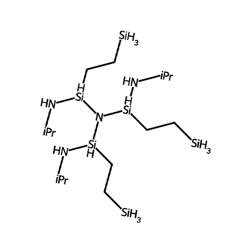 CC(C)N[SiH](CC[SiH3])N([SiH](CC[SiH3])NC(C)C)[SiH](CC[SiH3])NC(C)C